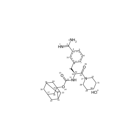 Cl.N=C(N)c1cccc(C[C@H](NC(=O)OC23CC4CC(CC(C4)C2)C3)C(=O)N2CCCCC2)c1